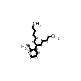 CCCCCCC(CCCCC)c1cccnc1N